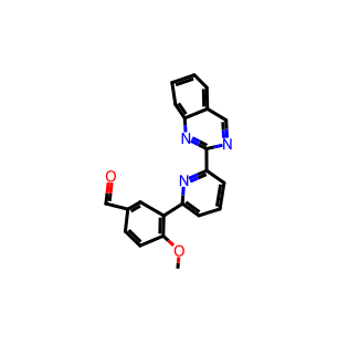 COc1ccc(C=O)cc1-c1cccc(-c2ncc3ccccc3n2)n1